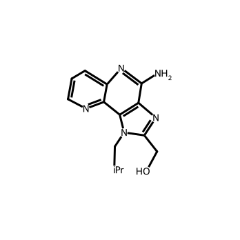 CC(C)Cn1c(CO)nc2c(N)nc3cccnc3c21